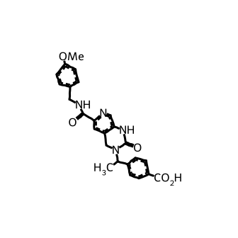 COc1ccc(CNC(=O)c2cc3c(cn2)NC(=O)N(C(C)c2ccc(C(=O)O)cc2)C3)cc1